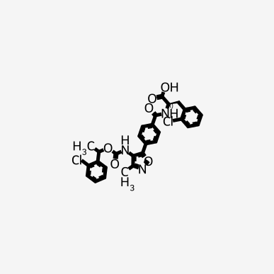 Cc1noc(-c2ccc(C(=O)N[C@H](Cc3ccccc3Cl)C(=O)O)cc2)c1NC(=O)OC(C)c1ccccc1Cl